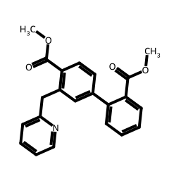 COC(=O)c1ccc(-c2ccccc2C(=O)OC)cc1Cc1ccccn1